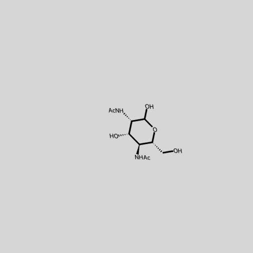 CC(=O)N[C@H]1[C@H](O)[C@H](NC(C)=O)C(O)O[C@@H]1CO